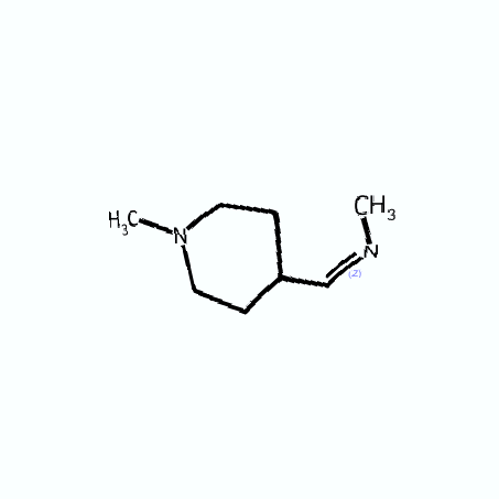 C/N=C\C1CCN(C)CC1